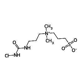 C[N+](C)(CCCNC(=O)NCl)CCCS(=O)(=O)[O-]